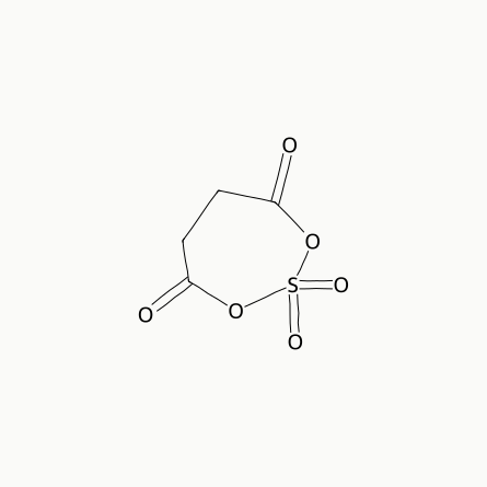 O=C1CCC(=O)OS(=O)(=O)O1